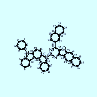 c1ccc(-n2c3ccccc3c3c4c5ccccc5n(-c5nc(-c6ccc7ccccc7c6)c6oc7cc8ccccc8cc7c6n5)c4ccc32)cc1